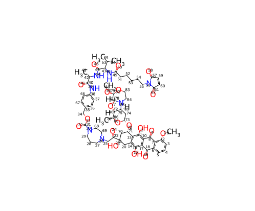 COc1cccc2c1C(=O)c1c(O)c3c(c(O)c1C2=O)C[C@@](O)(C(=O)CN1CCCN(C(=O)OCc2ccc(NC(=O)C(C)NC(=O)C(NC(=O)CCCCCN4C(=O)C=CC4=O)C(C)C)cc2)CC1)C[C@@H]3O[C@H]1C[C@H]2[C@H](O[C@@H]3[C@@H](OC)OCCN32)[C@H](C)O1